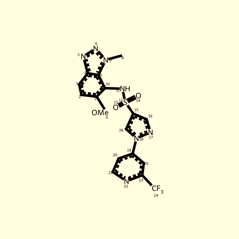 COc1ccc2nnn(C)c2c1NS(=O)(=O)c1cnn(-c2ccnc(C(F)(F)F)c2)c1